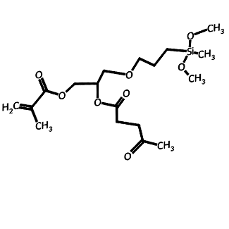 C=C(C)C(=O)OCC(COCCC[Si](C)(OC)OC)OC(=O)CCC(C)=O